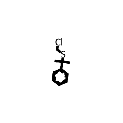 CC(C)(SCCl)c1ccccc1